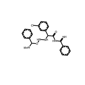 CNC(ONNC(C(=O)NC(=N)c1ccccc1)c1cccc(Cl)c1)c1ccccc1